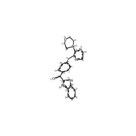 O=C(c1ccc(Cc2nccnc2N2CCOCC2)cc1)c1nc2ccccc2[nH]1